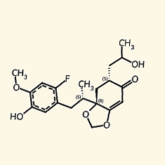 COc1cc(F)c(C[C@H](C)[C@]23C[C@H](CC(C)O)C(=O)C=C2OCO3)cc1O